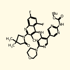 Cc1c(N2CC(C)(C)CC2=O)nc2cc(F)cc(F)c2c1Nc1cc(N2CCOCC2)ncc1-c1cnc(NC(=O)OC(C)(C)C)nc1